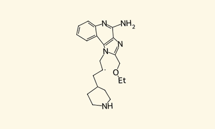 CCOCc1nc2c(N)nc3ccccc3c2n1C[CH]CC1CCNCC1